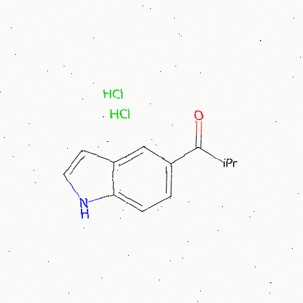 CC(C)C(=O)c1ccc2[nH]ccc2c1.Cl.Cl